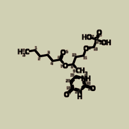 CCCCCC(=O)OC(C)CCOCP(=O)(O)O.O=c1cc[nH]c(=O)[nH]1